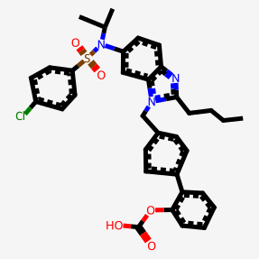 CCCCc1nc2ccc(N(C(C)C)S(=O)(=O)c3ccc(Cl)cc3)cc2n1Cc1ccc(-c2ccccc2OC(=O)O)cc1